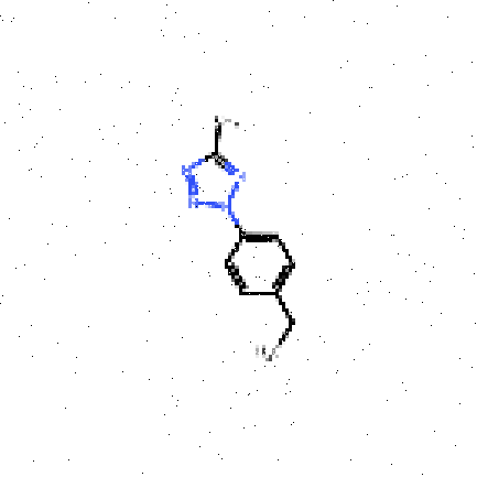 CCc1ccc(-n2nnc(C)n2)cc1